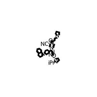 CC(C)N1CCC[C@H]1COc1nc2c(c(N3CCN(C(=O)/C=C/CN4CCCC4)[C@@H](CC#N)C3)n1)CC[C@H](N1CCCc3ccccc31)C2